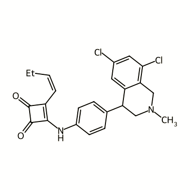 CC/C=C\c1c(Nc2ccc(C3CN(C)Cc4c(Cl)cc(Cl)cc43)cc2)c(=O)c1=O